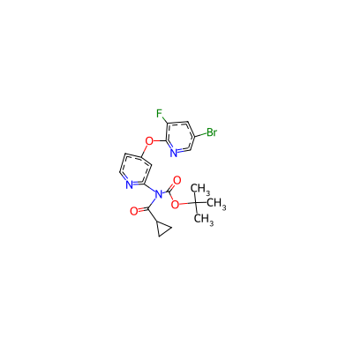 CC(C)(C)OC(=O)N(C(=O)C1CC1)c1cc(Oc2ncc(Br)cc2F)ccn1